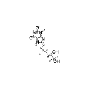 C[C@H](CCc1nc2c(c(=O)[nH]c(=O)n2C)n1C)CCC(O)C(C)(C)O